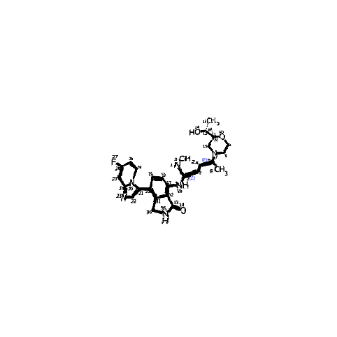 C=N/C(=C\C=C(/C)N1CCO[C@H]([C@@H](C)O)C1)Nc1ccc(-c2cnc3cc(F)ccn23)c2c1C(=O)NC2